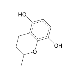 CC1CCc2c(O)ccc(O)c2O1